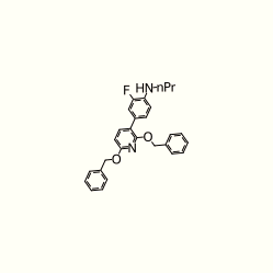 CCCNc1ccc(-c2ccc(OCc3ccccc3)nc2OCc2ccccc2)cc1F